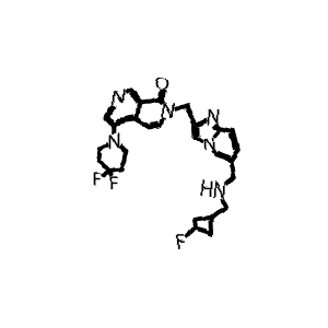 O=c1c2cncc(N3CCC(F)(F)CC3)c2ccn1Cc1cn2cc(CNCC3CC(F)C3)ccc2n1